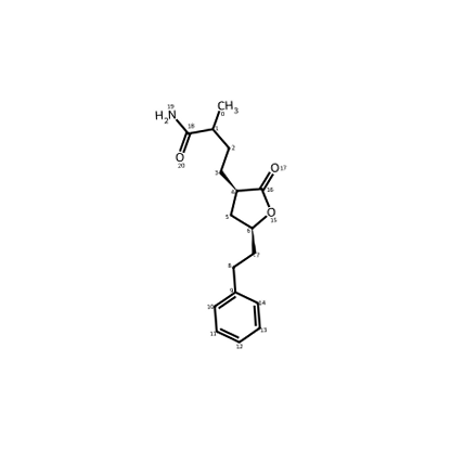 CC(CC[C@@H]1C[C@H]([CH]Cc2ccccc2)OC1=O)C(N)=O